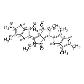 Cc1sc2c(C)c(C3=C4C(=O)N(C)C(c5sc6c(C)c(C)sc6c5C)=C4C(=O)N3C)sc2c1C